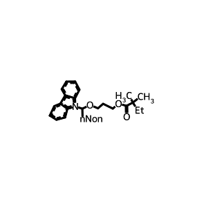 CCCCCCCCCC(OCCCOC(=O)C(C)(C)CC)n1c2ccccc2c2ccccc21